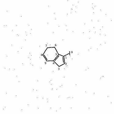 IC1=CCC2=C1CCC=C2